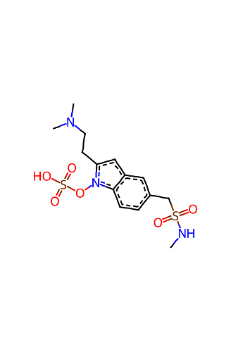 CNS(=O)(=O)Cc1ccc2c(c1)cc(CCN(C)C)n2OS(=O)(=O)O